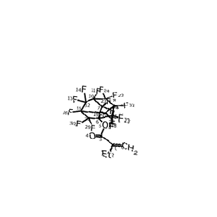 C=C(CC)C(=O)OC12C(F)(F)C3(F)C(F)(F)C(F)(C(F)(F)C(F)(C3(F)F)C1(F)F)C2(F)F